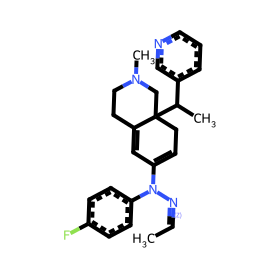 C/C=N\N(C1=CCC2(C(C)c3cccnc3)CN(C)CCC2=C1)c1ccc(F)cc1